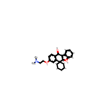 CCN(CC)CCOc1ccc2c(c1)C1(CCCCC1)c1oc3ccccc3c1C2=O